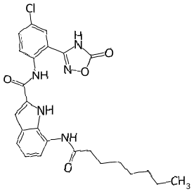 CCCCCCCC(=O)Nc1cccc2cc(C(=O)Nc3ccc(Cl)cc3-c3noc(=O)[nH]3)[nH]c12